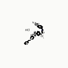 CN(C(=O)/C=C/c1ccc(S(C)(=O)=O)cc1)c1ccc(S(=O)(=O)NC2CCN(CCc3cccnc3)CC2)cc1.Cl